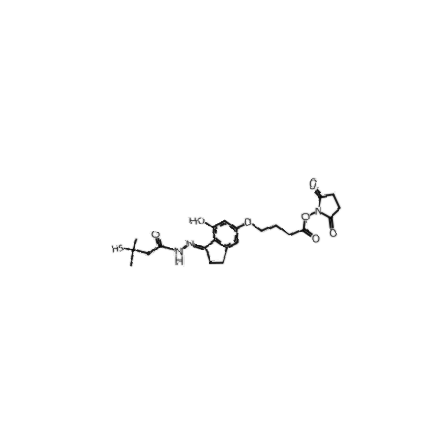 CC(C)(S)CC(=O)NN=C1CCc2cc(OCCCC(=O)ON3C(=O)CCC3=O)cc(O)c21